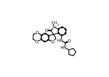 CN1C(=O)C2(COc3cc4c(cc32)OCCO4)c2c(NC(=O)NC3CCCC3)cccc21